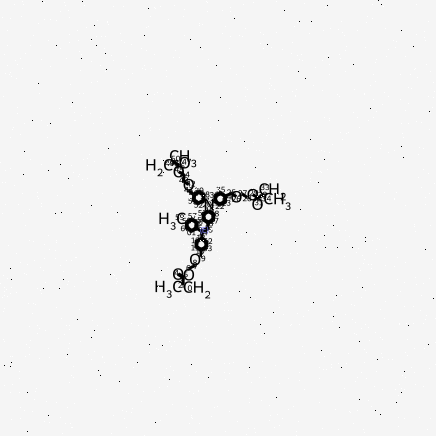 C=C(C)C(=O)OCCOCc1ccc(/C(=C/c2ccc(N(c3ccc(COCCOC(=O)C(=C)C)cc3)c3ccc(COCCOC(=O)C(=C)C)cc3)cc2)c2ccc(C)cc2)cc1